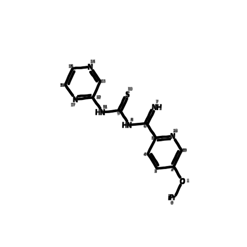 CC(C)Oc1ccc(C(=N)NC(=S)Nc2cnccn2)nc1